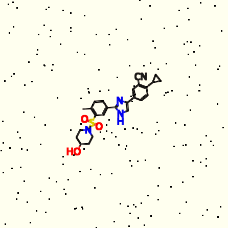 Cc1ccc(-c2nc(-c3ccc(C4CC4)c(C#N)c3)c[nH]2)cc1S(=O)(=O)N1CCC(O)CC1